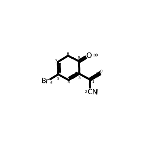 C=C(C#N)C1=CC(Br)=CCC1=O